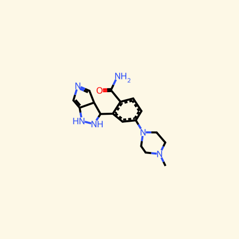 CN1CCN(c2ccc(C(N)=O)c(C3NNC4=CN=CC43)c2)CC1